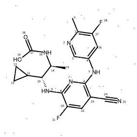 Cc1ncc(Nc2nc(N[C@H](C3CC3)[C@H](C)NC(=O)O)c(F)cc2C#N)cc1F